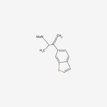 C=C(c1ccc2ccsc2c1)C(C)NC